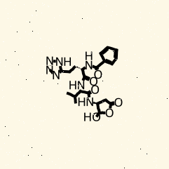 CC(C)[C@H](NC(=O)[C@H](CCc1nnn[nH]1)NC(=O)c1ccccc1)C(=O)N[C@H]1CC(=O)OC1O